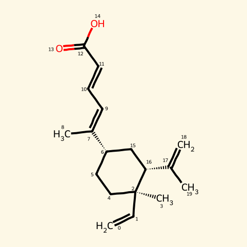 C=C[C@@]1(C)CC[C@H](/C(C)=C/C=C/C(=O)O)C[C@@H]1C(=C)C